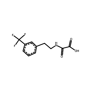 O=C(O)C(=O)NCCc1cccc(C(F)(F)F)c1